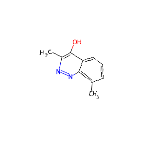 Cc1nnc2c(C)cccc2c1O